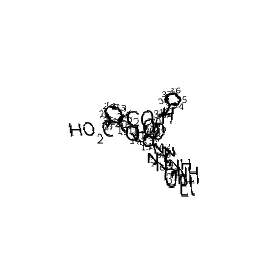 CCNC(=O)Nc1ncnc2c1ncn2C1CC(COCc2c(C(=O)O)cccc2C(=O)O)[C@H]2O[C@@H](C=Cc3ccccc3)OC12